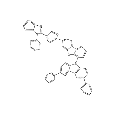 c1ccc(-c2ccc3c(c2)c2cc(-c4ccccc4)ccc2n3-c2cccc3c2oc2cc(-c4ccc(-c5nc6ccccc6n5-c5ccccc5)cc4)ccc23)cc1